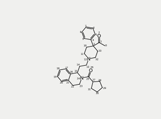 CC(=O)C1(c2ccccc2)CCN(CCC2c3ccccc3CCN2C(=O)C2CCCC2)CC1